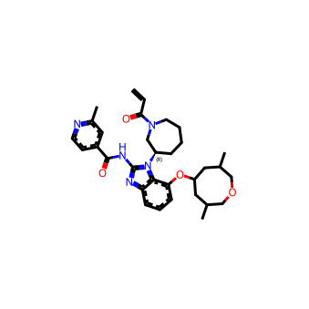 C=CC(=O)N1CCCC[C@@H](n2c(NC(=O)c3ccnc(C)c3)nc3cccc(OC4CC(C)COCC(C)C4)c32)C1